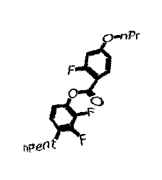 CCCCCc1ccc(OC(=O)c2ccc(OCCC)cc2F)c(F)c1F